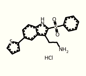 Cl.NCCc1c(S(=O)(=O)c2ccccc2)[nH]c2ccc(-c3cccs3)cc12